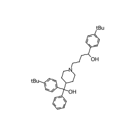 CC(C)(C)c1ccc(C(O)CCCN2CCC(C(O)(c3ccccc3)c3ccc(C(C)(C)C)cc3)CC2)cc1